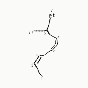 C/C=C\C=C/C(I)CC